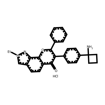 CCn1cc2ccc3c(=O)c(-c4ccc(C5(N)CCC5)cc4)c(-c4ccccc4)oc3c2n1.Cl